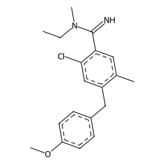 CCN(C)C(=N)c1cc(C)c(Cc2ccc(OC)cc2)cc1Cl